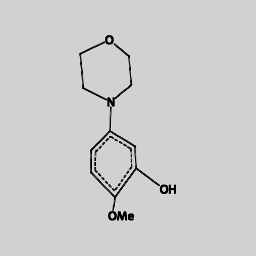 COc1ccc(N2CCOCC2)cc1O